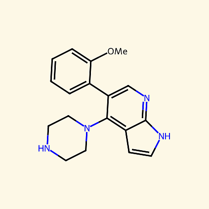 COc1ccccc1-c1cnc2[nH]ccc2c1N1CCNCC1